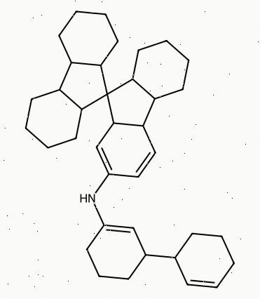 C1=CC(C2C=C(NC3=CC4C(C=C3)C3CCCCC3C43C4CCCCC4C4CCCCC43)CCC2)CCC1